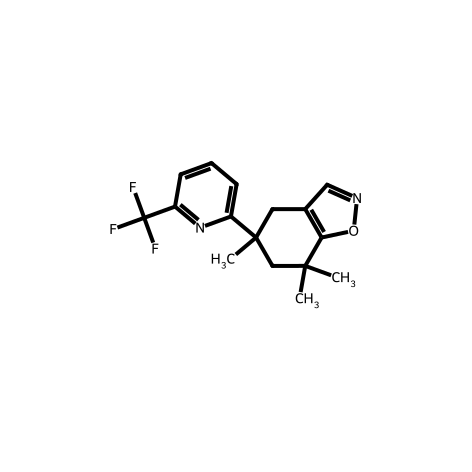 CC1(C)CC(C)(c2cccc(C(F)(F)F)n2)Cc2cnoc21